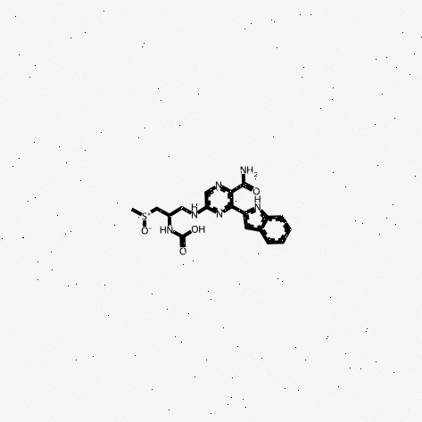 C[S+]([O-])CC(CNc1cnc(C(N)=O)c(-c2cc3ccccc3[nH]2)n1)NC(=O)O